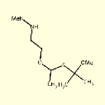 CNNCCOC(C)SC(C)(C)OC